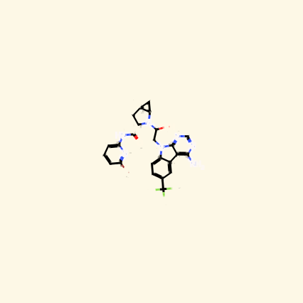 C[C@]12CC1N(C(O)Cn1c3ccc(C(F)(F)F)cc3c3c(N)ncnc31)[C@H](C(=O)Nc1cccc(Br)n1)C2